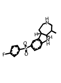 CC1CNCC[C@H]2c3cc(S(=O)(=O)c4ccc(F)cc4)ccc3N[C@@H]12